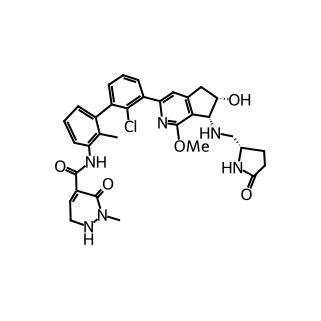 COc1nc(-c2cccc(-c3cccc(NC(=O)C4=CCNN(C)C4=O)c3C)c2Cl)cc2c1[C@@H](NC[C@@H]1CCC(=O)N1)[C@@H](O)C2